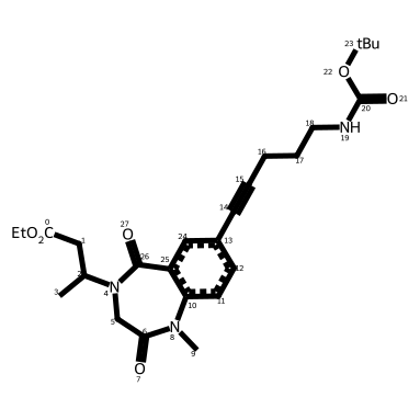 CCOC(=O)CC(C)N1CC(=O)N(C)c2ccc(C#CCCCNC(=O)OC(C)(C)C)cc2C1=O